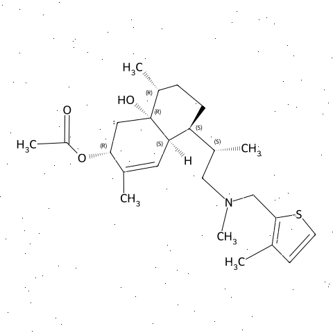 CC(=O)O[C@@H]1[C][C@@]2(O)[C@H](C)CC[C@@H]([C@H](C)CN(C)Cc3sccc3C)[C@H]2C=C1C